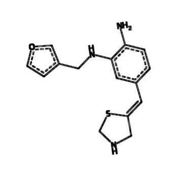 Nc1ccc(C=C2CNCS2)cc1NCc1ccoc1